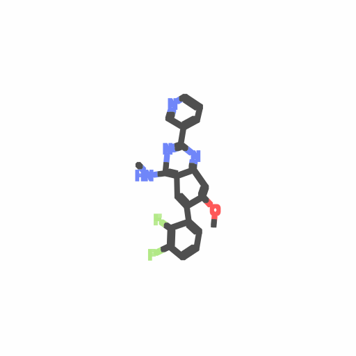 CNc1nc(-c2cccnc2)nc2cc(OC)c(-c3cccc(F)c3F)cc12